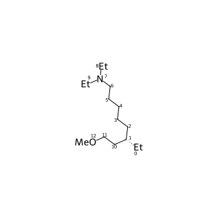 CC[C@@H](CCCCCN(CC)CC)CCOC